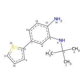 CC(C)(C)Nc1cc(-c2cccs2)ccc1N